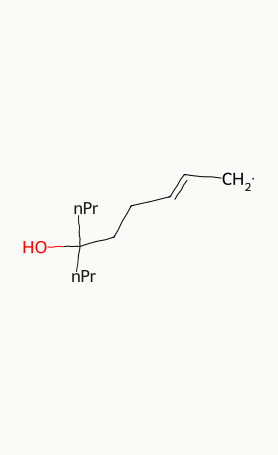 [CH2]C=CCCC(O)(CCC)CCC